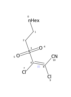 CCCCCCCCS(=O)(=O)/C(Cl)=C(/Cl)C#N